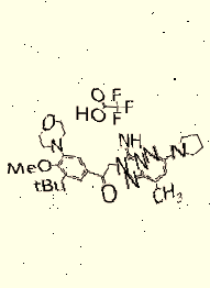 COc1c(N2CCOCC2)cc(C(=O)Cn2nc3c(C)cc(N4CCCC4)nn3c2=N)cc1C(C)(C)C.O=C(O)C(F)(F)F